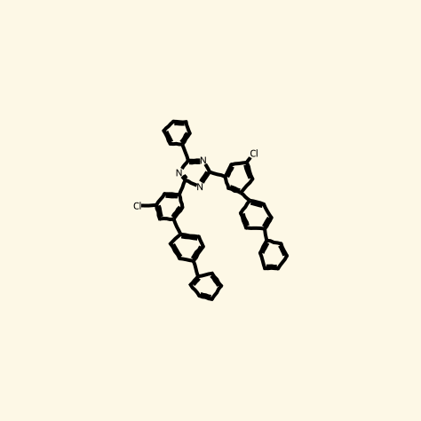 Clc1cc(-c2ccc(-c3ccccc3)cc2)cc(-c2nc(-c3ccccc3)nc(-c3cc(Cl)cc(-c4ccc(-c5ccccc5)cc4)c3)n2)c1